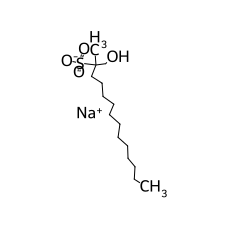 CCCCCCCCCCCCC(C)(CO)S(=O)(=O)[O-].[Na+]